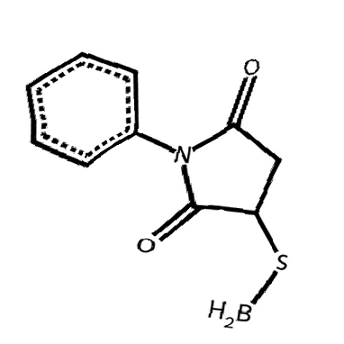 BSC1CC(=O)N(c2ccccc2)C1=O